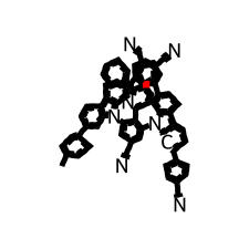 Cc1ccc(-c2ccc3c4ccc(-c5ccc(C#N)cc5)cc4n(-c4cc(C#N)cc(-n5c6cc(-c7ccc(C#N)cc7)ccc6c6ccc(-c7ccc(C#N)cc7)cc65)c4-c4cccc(-c5ccccc5)n4)c3c2)cc1